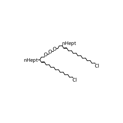 CCCCCCCC(C=CCCCCCCCCCCCCCl)CCOCOCOCCC(C=CCCCCCCCCCCCCCl)CCCCCCC